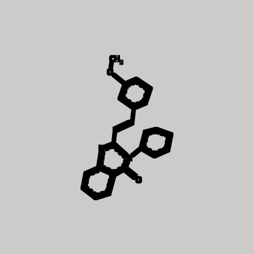 COc1cccc(/C=C/c2nc3ccccc3c(=O)n2-c2ccccc2)c1